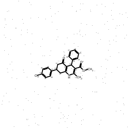 COC(=O)C1=C(C)NC2=C(C(=O)CC(c3ccc(Cl)cc3)C2)C1c1ccccc1